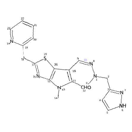 CN(Cc1cc[nH]n1)/N=C\c1c(C=O)n(C)c2nc(Cc3ccccn3)sc12